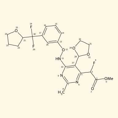 COC(=O)C(F)c1nc(C)nc(NOc2cccc(C(F)(F)C3CCCO3)c2)c1C1OCCO1